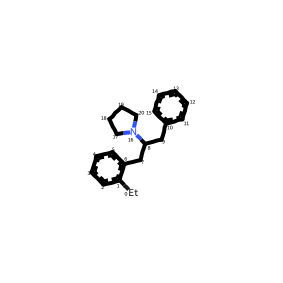 CCc1ccccc1C[C](Cc1ccccc1)N1CCCC1